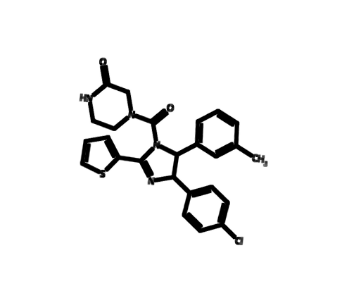 Cc1cccc(C2C(c3ccc(Cl)cc3)N=C(c3cccs3)N2C(=O)N2CCNC(=O)C2)c1